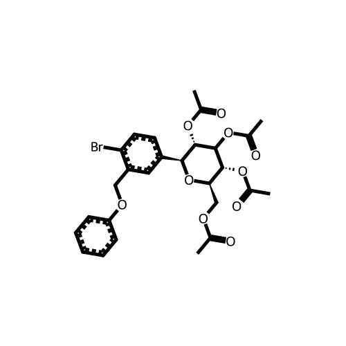 CC(=O)OC[C@H]1O[C@@H](c2ccc(Br)c(COc3ccccc3)c2)[C@H](OC(C)=O)C(OC(C)=O)[C@@H]1OC(C)=O